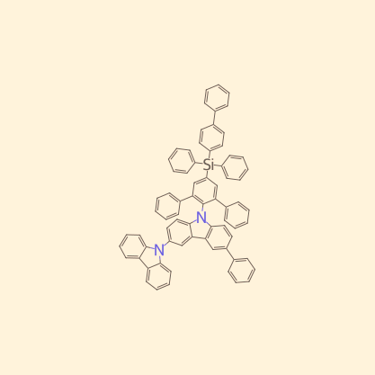 c1ccc(-c2ccc([Si](c3ccccc3)(c3ccccc3)c3cc(-c4ccccc4)c(-n4c5ccc(-c6ccccc6)cc5c5cc(-n6c7ccccc7c7ccccc76)ccc54)c(-c4ccccc4)c3)cc2)cc1